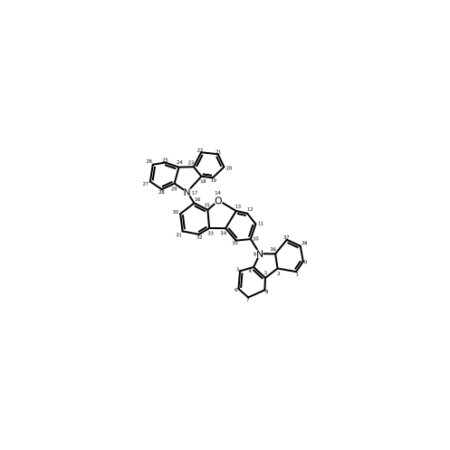 C1=CC2C3=C(C=CCC3)N(c3ccc4oc5c(-n6c7ccccc7c7ccccc76)cccc5c4c3)C2C=C1